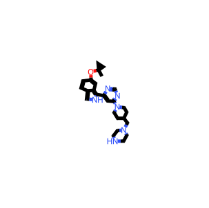 CC1(Oc2ccc3c[nH]c(-c4cc(N5CCC(CN6CCNCC6)CC5)ncn4)c3c2)CC1